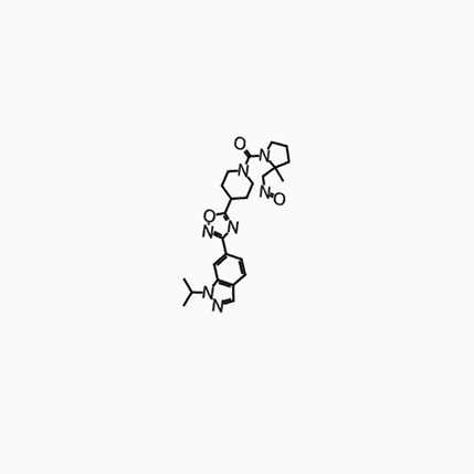 CC(C)n1ncc2ccc(-c3noc(C4CCN(C(=O)N5CCCC5(C)CN=O)CC4)n3)cc21